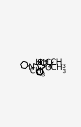 CC(CN(C)C1CCCCC1)c1ccccc1C(=O)OC(C)(C)C